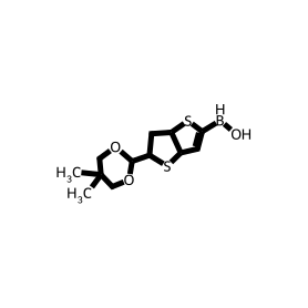 CC1(C)COC(C2CC3SC(BO)=CC3S2)OC1